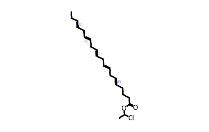 CC/C=C/C/C=C/C/C=C/C/C=C/C/C=C/CCCC(=O)OC(C)Cl